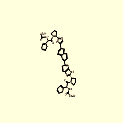 COC(=O)N[C@@H](C(=O)N1CCC[C@H]1c1ncc(-c2ccc3cc(-c4ccc5nc([C@@H]6CCCN6C(=O)[C@H](NC(=O)OC)C6=CCC=CC6)[nH]c5n4)ccc3c2)[nH]1)C1=CCC=CC1